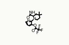 CC1(C)CCN(c2ncccc2OC(=O)C(F)(F)F)C(C(N)=O)C1